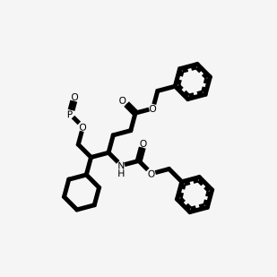 O=POCC(C1CCCCC1)C(CCC(=O)OCc1ccccc1)NC(=O)OCc1ccccc1